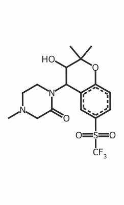 CN1CCN(C2c3cc(S(=O)(=O)C(F)(F)F)ccc3OC(C)(C)C2O)C(=O)C1